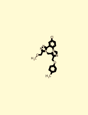 COCc1nnc2n1Cc1c(COc3ccc(C)cc3)ncn1-c1ccc(Cl)cc1-2